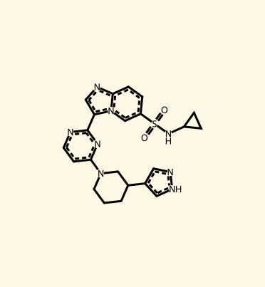 O=S(=O)(NC1CC1)c1ccc2ncc(-c3nccc(N4CCCC(c5cn[nH]c5)C4)n3)n2c1